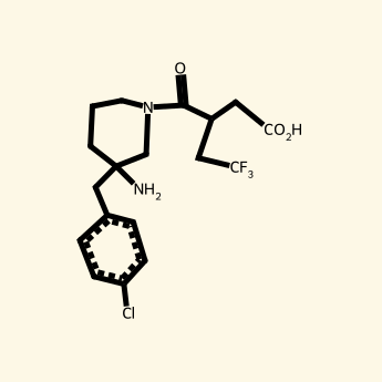 NC1(Cc2ccc(Cl)cc2)CCCN(C(=O)C(CC(=O)O)CC(F)(F)F)C1